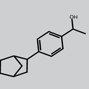 CC(O)c1ccc(C2CC3CCC2C3)cc1